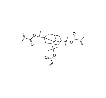 C=CC(=O)OC(C)(C)C12CC3CC(C(C)(C)OC(=O)C(=C)C)(C1)CC(C(C)(C)OC(=O)C(=C)C)(C3)C2